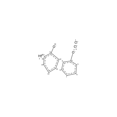 [Cl-].[Cl-].[Hf+4].[O-]c1ccccc1.[O-]c1ccccc1